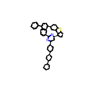 c1ccc(-c2ccc(-c3ccc(-c4cc(-c5cccc6sc7ccc(-c8ccc(-c9ccccc9)cc8)cc7c56)nc(-c5ccccc5)n4)cc3)cc2)cc1